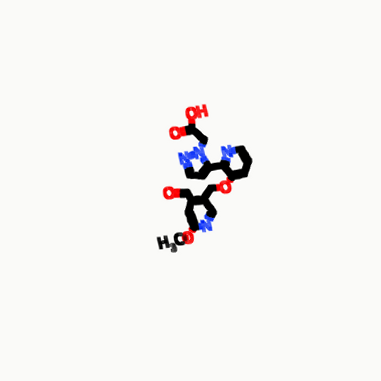 COc1cc(C=O)c(COc2cccnc2-c2ccnn2CC(=O)O)cn1